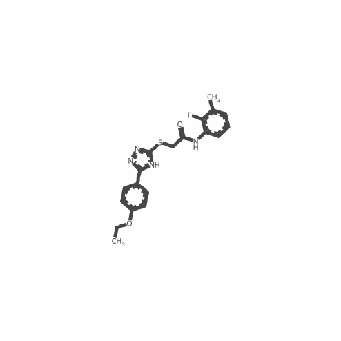 CCOc1ccc(-c2nnc(SCC(=O)Nc3cccc(C)c3F)[nH]2)cc1